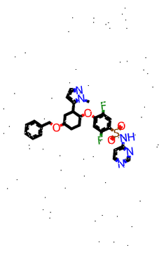 Cn1nccc1C1CC(OCc2ccccc2)CCC1Oc1cc(F)c(S(=O)(=O)Nc2ccncn2)cc1F